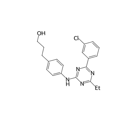 CCc1nc(Nc2ccc(CCCO)cc2)nc(-c2cccc(Cl)c2)n1